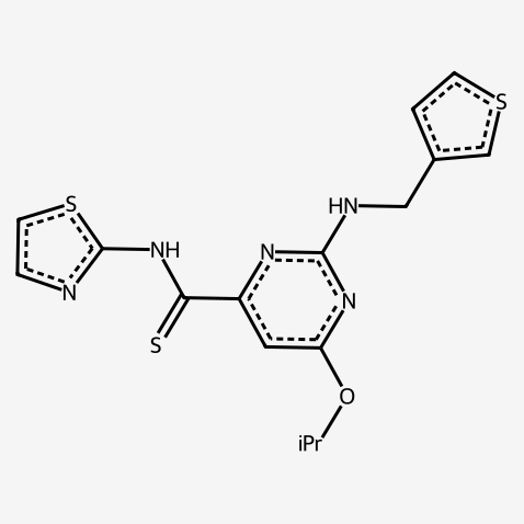 CC(C)Oc1cc(C(=S)Nc2nccs2)nc(NCc2ccsc2)n1